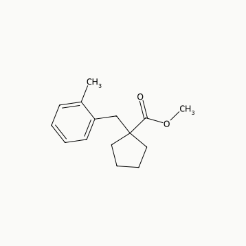 COC(=O)C1(Cc2ccccc2C)CCCC1